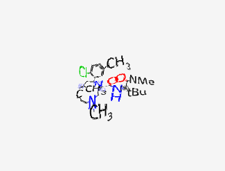 CNC(=O)[C@@H](NC(=O)C1=C\CN(C)CCC/C=C(\C)C/C(c2cc(C)ccc2Cl)=N\1)C(C)(C)C